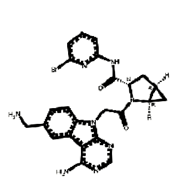 NCc1ccc2c(c1)c1c(N)ncnc1n2CC(=O)N1[C@@H]2C[C@@H]2C[C@H]1C(=O)Nc1cccc(Br)n1